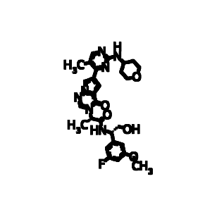 COc1cc(F)cc([C@@H](CO)NC(=O)[C@H](C)n2cnn3cc(-c4nc(NC5CCOCC5)ncc4C)cc3c2=O)c1